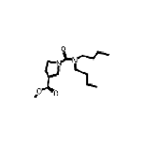 CCCCN(CCCC)C(=O)N1CCC(C(=O)OC)C1